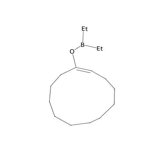 CCB(CC)OC1=CCCCCCCCCCC1